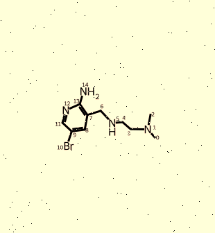 CN(C)CCNCc1cc(Br)cnc1N